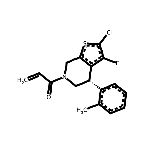 C=CC(=O)N1Cc2sc(Cl)c(F)c2[C@H](c2ccccc2C)C1